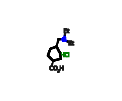 CCN(CC)C[C@H]1CC[C@H](C(=O)O)CC1.Cl